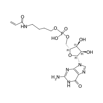 C=CC(=O)NCCCCOP(=O)(O)OC[C@H]1O[C@@H](n2cnc3c(=O)[nH]c(N)nc32)[C@H](O)[C@@H]1O